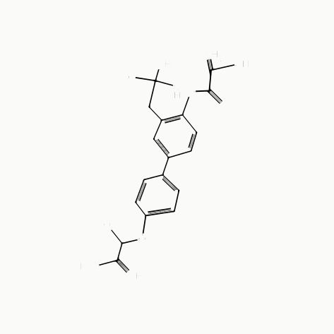 C=C(C)C(=O)Oc1ccc(-c2ccc(OC(O)C(=C)C)cc2)cc1CC(C)(C)O